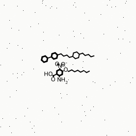 CCCCCC1CCC(CCCCc2ccc(-c3ccccc3)cc2)CC1.CCCCCCCCOc1cc(N)c(C(=O)O)cc1[N+](=O)[O-]